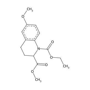 CCOC(=O)N1c2ccc(OC)cc2CCC1C(=O)OC